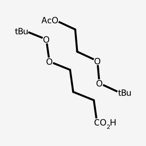 CC(=O)OCCOOC(C)(C)C.CC(C)(C)OOCCCC(=O)O